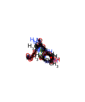 COc1cc2cc(c1Cl)N(C)C(=O)C[C@H](OC(=O)Nc1ccc(NC(=O)[C@H](CCCNC(N)=O)NC(=O)[C@@H](NC(=S)NCCOCCOCCC(=O)ON3C(=O)CCC3=O)C(C)C)c(C(F)(F)F)c1)[C@]1(C)O[C@H]1[C@H](C)[C@@H]1C[C@@](O)(NC(O)O1)[C@H](OC)/C=C/C=C(\C)C2